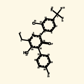 CCc1nn(-c2ccc(C(F)(F)F)cc2Cl)c(=O)c(-c2ccc(F)cc2)c1O